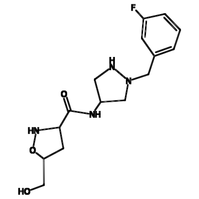 O=C(NC1CNN(Cc2cccc(F)c2)C1)C1CC(CO)ON1